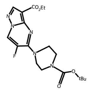 CCOC(=O)c1cnn2cc(F)c(N3CCN(C(=O)OC(C)(C)C)CC3)nc12